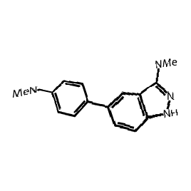 CNc1ccc(-c2ccc3[nH]nc(NC)c3c2)cc1